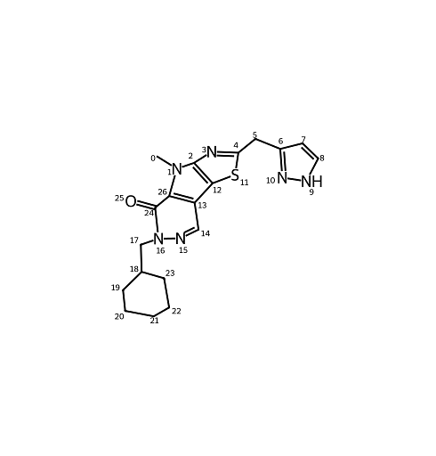 Cn1c2nc(Cc3cc[nH]n3)sc2c2cnn(CC3CCCCC3)c(=O)c21